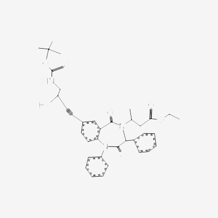 CCOC(=O)CC(C)N1C(=O)c2cc(C#CC(S)CNC(=O)OC(C)(C)C)ccc2N(c2ccccc2)C(=O)C1c1ccccc1